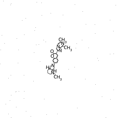 CCN1CCC[C@H]2CN(c3ccc4cc(-c5cn6cc(C)nc(C)c6n5)c(=O)oc4c3)C[C@H]21